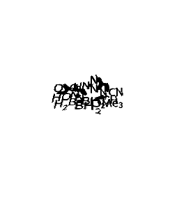 BC(B)(B)n1cc(Nc2ncc3cc(C#N)n([C@@H](C)COC)c3n2)c(O[C@@H]2COCC2O)n1